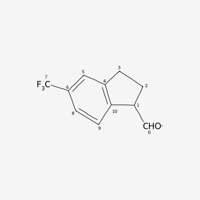 O=[C]C1CCc2cc(C(F)(F)F)ccc21